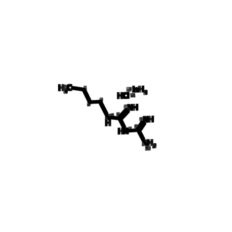 CCCCNC(=N)NC(=N)N.Cl.[InH3]